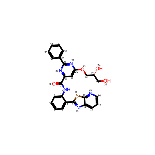 O=C(Nc1ccccc1-c1nc2cccnc2s1)c1cc(OC[C@H](O)CO)nc(-c2ccccc2)n1